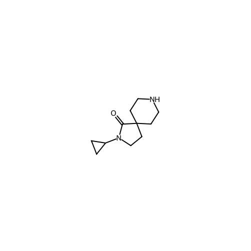 O=C1N(C2CC2)CCC12CCNCC2